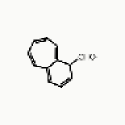 O=[C]C1C=CC=C2C=CC=CC=C21